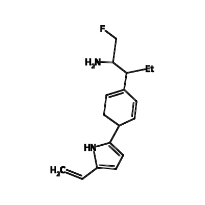 C=Cc1ccc(C2C=CC(C(CC)C(N)CF)=CC2)[nH]1